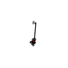 O=C(OCCCCCCCCCCCCCCCCCCCCBr)C(F)(F)S(=O)(=O)OS(c1ccccc1)(c1ccccc1)c1cccc(F)c1